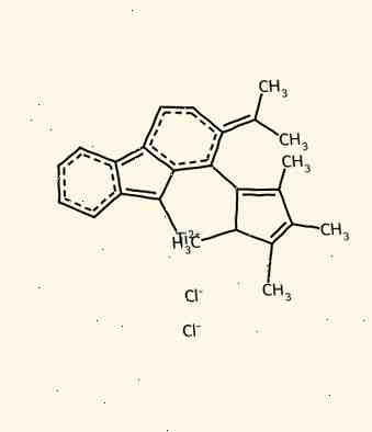 CC1=C(C)C(C)C(c2c3c(ccc2=C(C)C)=c2ccccc2=[C]3[Ti+2])=C1C.[Cl-].[Cl-]